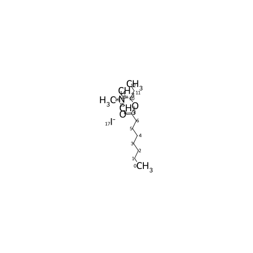 CCCCCCCC(=O)OC(CC)[N+](C)(C)C.[I-]